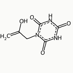 C=C(O)Cn1c(=O)[nH]c(=O)[nH]c1=O